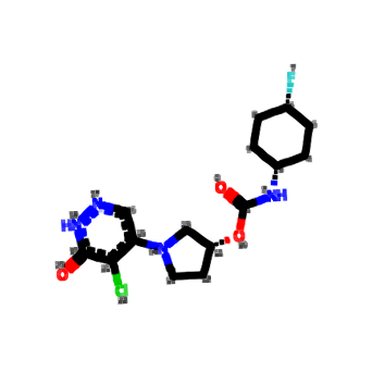 O=C(N[C@H]1CC[C@@H](F)CC1)O[C@@H]1CCN(c2cn[nH]c(=O)c2Cl)C1